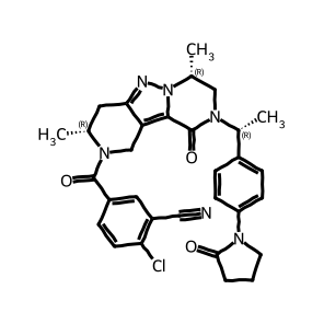 C[C@@H]1Cc2nn3c(c2CN1C(=O)c1ccc(Cl)c(C#N)c1)C(=O)N([C@H](C)c1ccc(N2CCCC2=O)cc1)C[C@H]3C